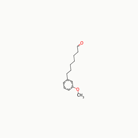 COc1cccc(CCCCCCC=O)c1